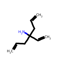 C=CCC(N)(C=C)CC=C